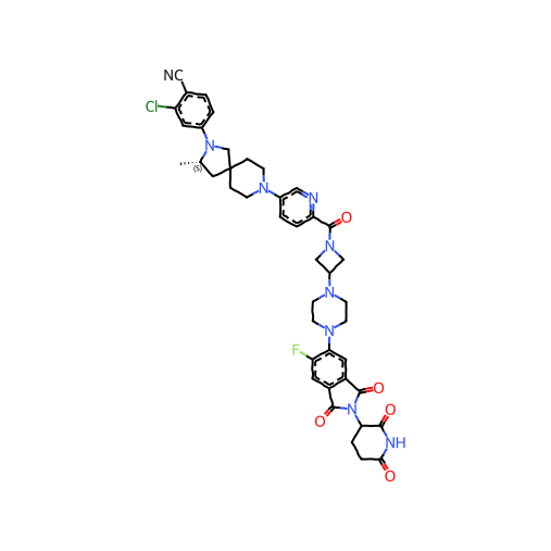 C[C@H]1CC2(CCN(c3ccc(C(=O)N4CC(N5CCN(c6cc7c(cc6F)C(=O)N(C6CCC(=O)NC6=O)C7=O)CC5)C4)nc3)CC2)CN1c1ccc(C#N)c(Cl)c1